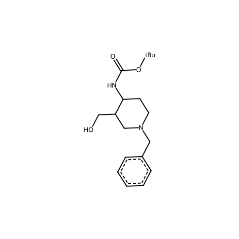 CC(C)(C)OC(=O)NC1CCN(Cc2ccccc2)CC1CO